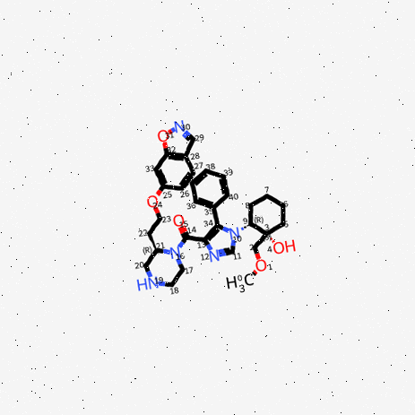 COC[C@]1(O)CCCC[C@H]1n1cnc(C(=O)N2CCNC[C@H]2CCOc2ccc3cnoc3c2)c1-c1ccccc1